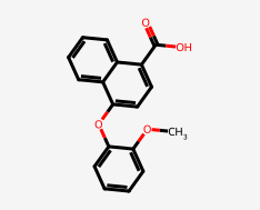 COc1ccccc1Oc1ccc(C(=O)O)c2ccccc12